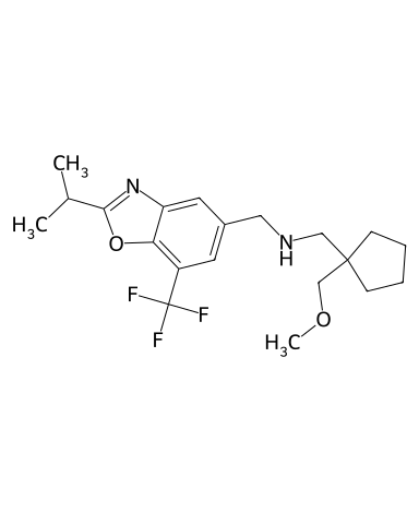 COCC1(CNCc2cc(C(F)(F)F)c3oc(C(C)C)nc3c2)CCCC1